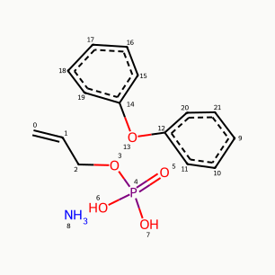 C=CCOP(=O)(O)O.N.c1ccc(Oc2ccccc2)cc1